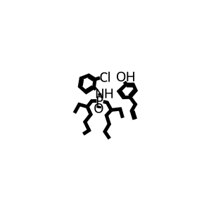 C=CCc1ccc(O)cc1.CCCCC(CC)CP(=O)(CC(CC)CCCC)Nc1ccccc1Cl